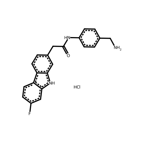 Cl.NCc1ccc(NC(=O)Cc2ccc3c(c2)[nH]c2cc(F)ccc23)cc1